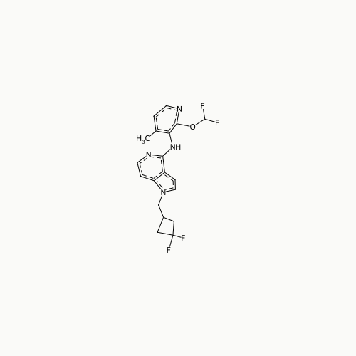 Cc1ccnc(OC(F)F)c1Nc1nccc2c1ccn2CC1CC(F)(F)C1